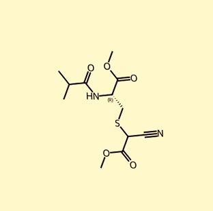 COC(=O)C(C#N)SC[C@H](NC(=O)C(C)C)C(=O)OC